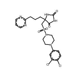 O=C1NC(=O)C(CCCc2ncccn2)(CS(=O)(=O)N2CCN(c3ccc(Cl)c(Cl)c3)CC2)N1